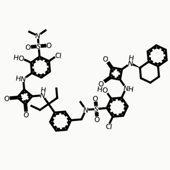 CCC(CC)(Nc1c(Nc2ccc(Cl)c(S(=O)(=O)N(C)C)c2O)c(=O)c1=O)c1cccc(CN(C)S(=O)(=O)c2c(Cl)ccc(Nc3c(N[C@@H]4CCCc5ccccc54)c(=O)c3=O)c2O)c1